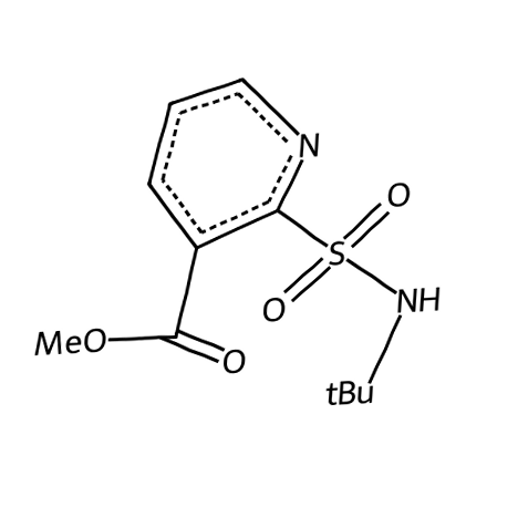 COC(=O)c1cccnc1S(=O)(=O)NC(C)(C)C